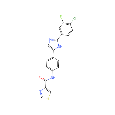 O=C(Nc1ccc(-c2cnc(-c3ccc(Cl)c(F)c3)[nH]2)cc1)c1cscn1